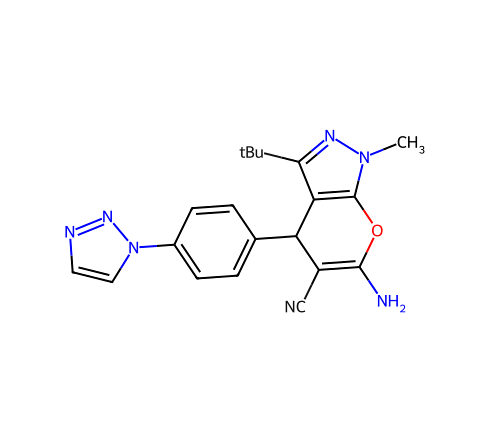 Cn1nc(C(C)(C)C)c2c1OC(N)=C(C#N)C2c1ccc(-n2ccnn2)cc1